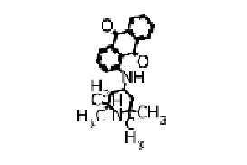 CC1(C)CC(Nc2cccc3c2C(=O)c2ccccc2C3=O)CC(C)(C)N1